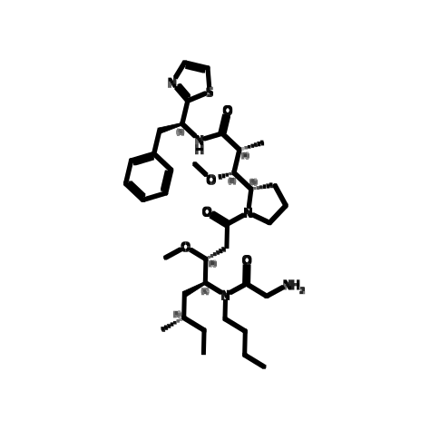 CCCCN(C(=O)CN)[C@@H](C[C@@H](C)CC)[C@@H](CC(=O)N1CCC[C@H]1[C@H](OC)[C@@H](C)C(=O)N[C@@H](Cc1ccccc1)c1nccs1)OC